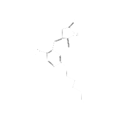 O=C(O)CCCCOc1ccc([N+](=O)[O-])c(C=C2CC(=O)NC2=O)c1